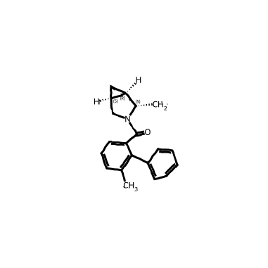 [CH2][C@H]1[C@@H]2C[C@@H]2CN1C(=O)c1cccc(C)c1-c1ccccc1